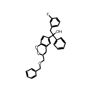 OC(Cc1cccc(F)c1)(c1ccccc1)c1ccc2c(c1)CC(COCc1ccccc1)OO2